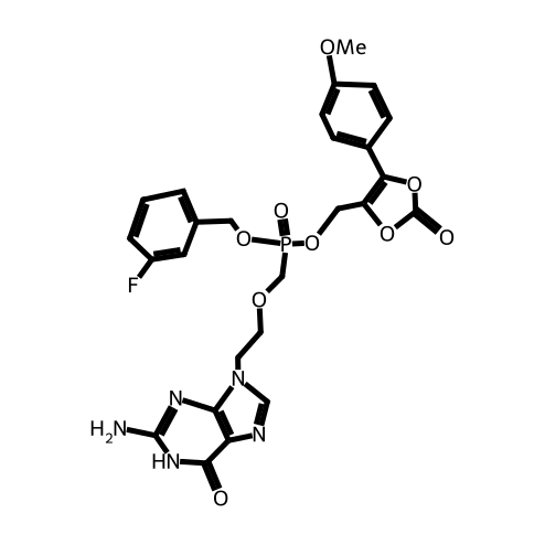 COc1ccc(-c2oc(=O)oc2COP(=O)(COCCn2cnc3c(=O)[nH]c(N)nc32)OCc2cccc(F)c2)cc1